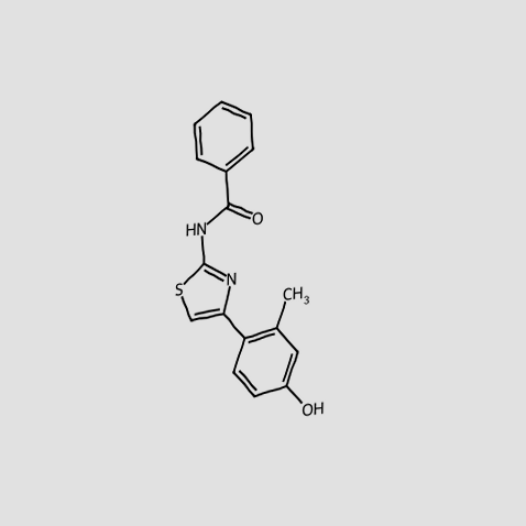 Cc1cc(O)ccc1-c1csc(NC(=O)c2ccccc2)n1